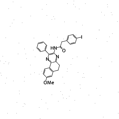 COc1ccc2c(c1)CCc1nc(NC(=O)Cc3ccc(I)cc3)c(-c3ccccc3)nc1-2